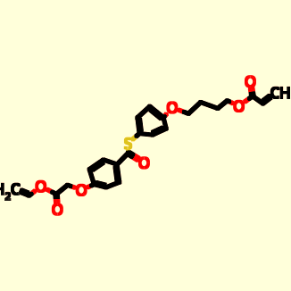 C=COC(=O)COc1ccc(C(=O)Sc2ccc(OCCCCOC(=O)C=C)cc2)cc1